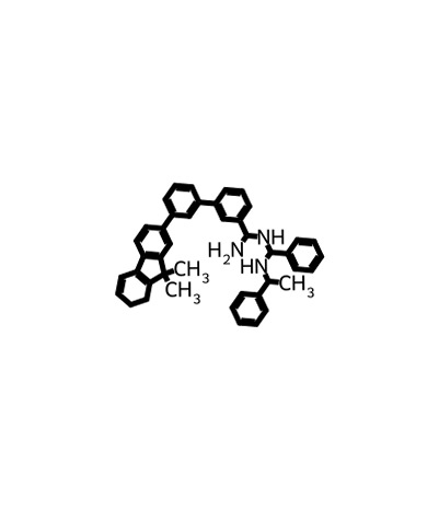 CC(NC(NC(N)c1cccc(-c2cccc(-c3ccc4c(c3)C(C)(C)C3=C4C=CCC3)c2)c1)c1ccccc1)c1ccccc1